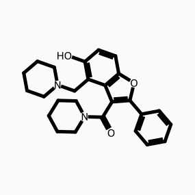 O=C(c1c(-c2ccccc2)oc2ccc(O)c(CN3CCCCC3)c12)N1CCCCC1